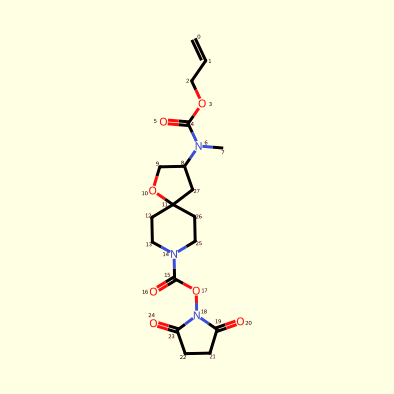 C=CCOC(=O)N(C)C1COC2(CCN(C(=O)ON3C(=O)CCC3=O)CC2)C1